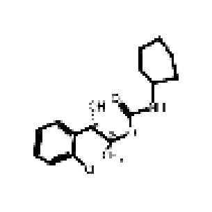 C[C@H](OC(=O)NC1CCCCC1)[C@@H](O)c1ccccc1Cl